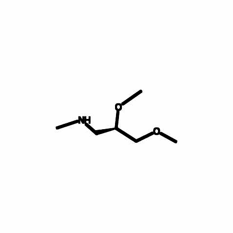 CNC[C@H](COC)OC